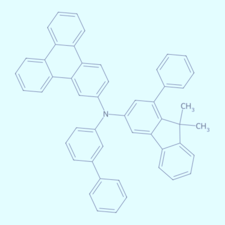 CC1(C)c2ccccc2-c2cc(N(c3cccc(-c4ccccc4)c3)c3ccc4c5ccccc5c5ccccc5c4c3)cc(-c3ccccc3)c21